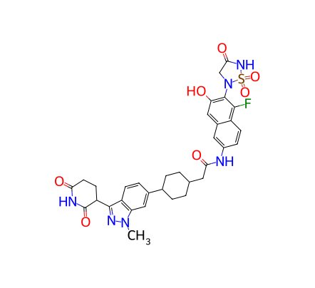 Cn1nc(C2CCC(=O)NC2=O)c2ccc(C3CCC(CC(=O)Nc4ccc5c(F)c(N6CC(=O)NS6(=O)=O)c(O)cc5c4)CC3)cc21